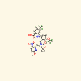 COc1ccc([N+](=O)[O-])c(CCN(Cc2cc(OC(F)(F)F)ccc2Nc2cc(C(F)(F)F)c(F)cc2C(=O)O)C(=O)OC(C)(C)C)n1